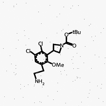 COc1c(CCN)cc(Cl)c(Cl)c1C1CN(C(=O)OC(C)(C)C)C1